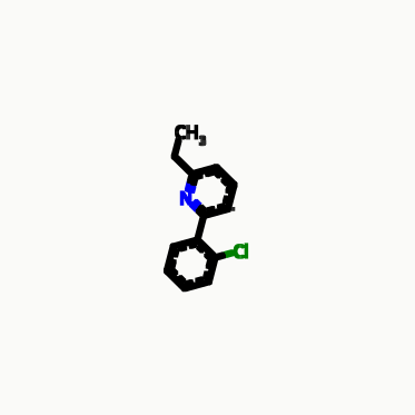 CCc1cc[c]c(-c2ccccc2Cl)n1